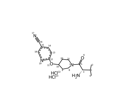 CC(C)[C@H](N)C(=O)N1CCC(Oc2ccc(C#N)cn2)CC1.Cl.Cl